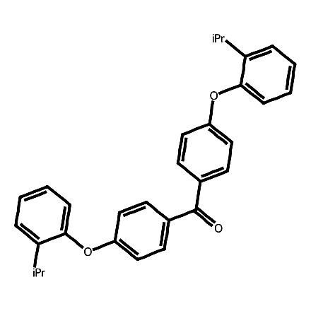 CC(C)c1ccccc1Oc1ccc(C(=O)c2ccc(Oc3ccccc3C(C)C)cc2)cc1